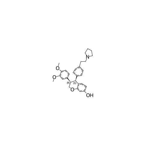 COc1ccc([C@@H]2COc3cc(O)ccc3[C@@H]2c2ccc(CCN3CCCC3)cc2)cc1OC